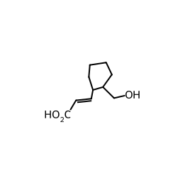 O=C(O)C=CC1CCCCC1CO